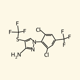 Nc1nn(-c2c(Cl)cc(C(F)(F)F)cc2Cl)cc1SC(F)(F)F